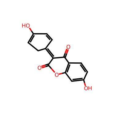 O=C1Oc2cc(O)ccc2C(=O)C1=C1C=CC(O)=CC1